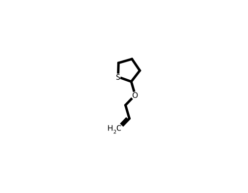 C=CCOC1CCCS1